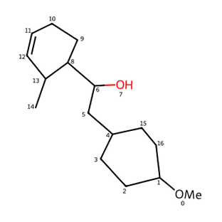 COC1CCC(CC(O)C2CCC=CC2C)CC1